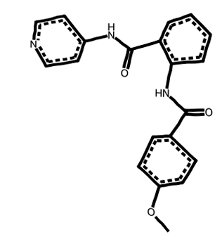 COc1ccc(C(=O)Nc2ccccc2C(=O)Nc2ccncc2)cc1